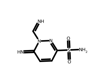 N=Cn1nc(S(N)(=O)=O)ccc1=N